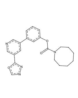 O=C(Oc1cccc(-c2cncc(-c3nnco3)c2)c1)N1CCCCCCC1